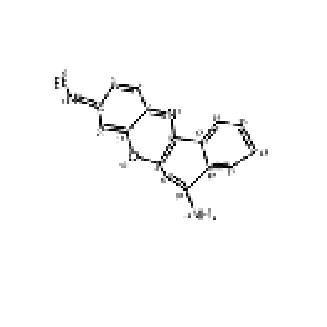 CC/N=c1\ccc2nc3c(cc(N)c4ccccc43)oc-2c1